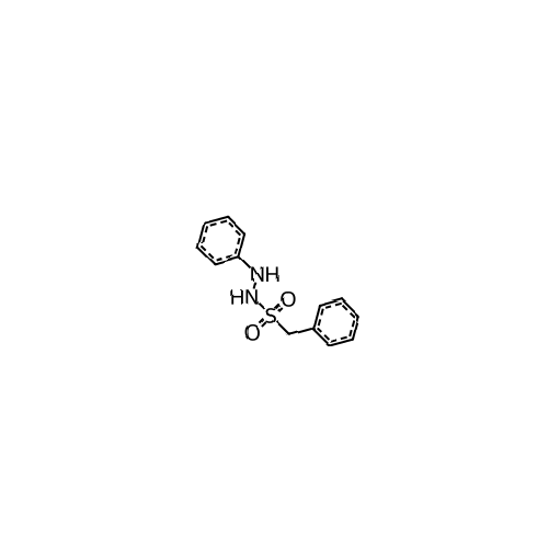 O=S(=O)(Cc1ccccc1)NNc1ccccc1